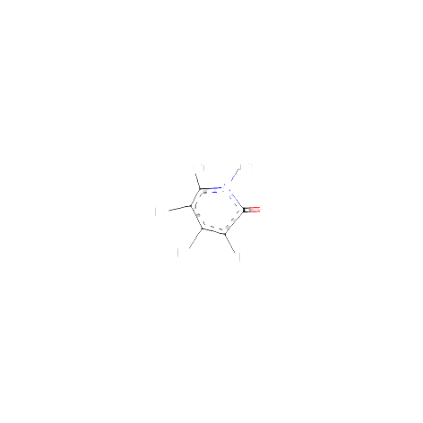 CC(C)c1c(C(C)C)c(C(C)C)n(C(C)C)c(=O)c1C(C)C